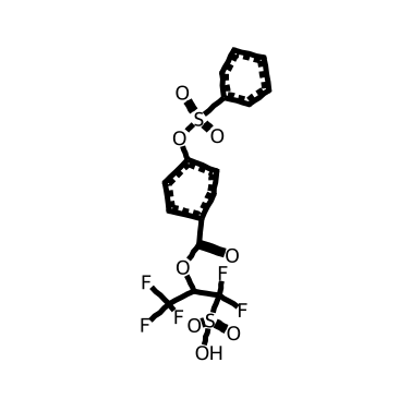 O=C(OC(C(F)(F)F)C(F)(F)S(=O)(=O)O)c1ccc(OS(=O)(=O)c2ccccc2)cc1